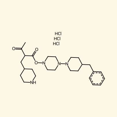 CC(=O)C(CC1CCNCC1)C(=O)ON1CCN(N2CCC(Cc3ccccc3)CC2)CC1.Cl.Cl.Cl